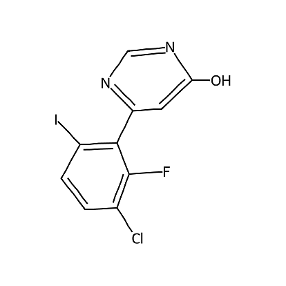 Oc1cc(-c2c(I)ccc(Cl)c2F)ncn1